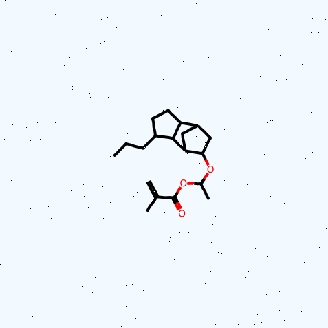 C=C(C)C(=O)OC(C)OC1CC2CC1C1C(CCC)CCC21